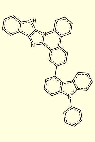 c1ccc(-n2c3ccccc3c3c(-c4ccc5c6ccccc6n6c(nc7c8ccccc8[nH]c76)c5c4)cccc32)cc1